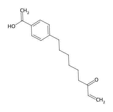 C=CC(=O)CCCCCCc1ccc(C(=C)O)cc1